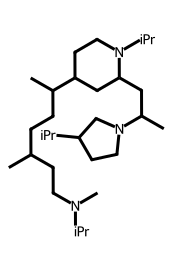 CC(CCC(C)C1CCN(C(C)C)C(CC(C)N2CCC(C(C)C)C2)C1)CCN(C)C(C)C